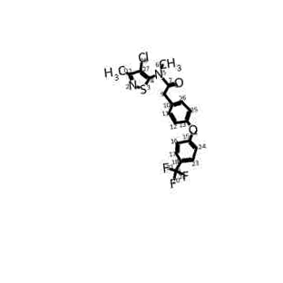 Cc1nsc(N(C)C(=O)Cc2ccc(Oc3ccc(C(F)(F)F)cc3)cc2)c1Cl